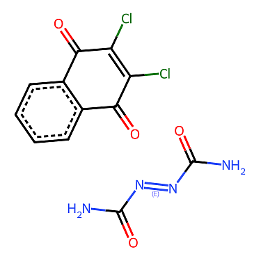 NC(=O)/N=N/C(N)=O.O=C1C(Cl)=C(Cl)C(=O)c2ccccc21